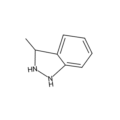 CC1NNc2ccccc21